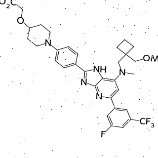 COCC1(CN(C)c2cc(-c3cc(F)cc(C(F)(F)F)c3)nc3nc(-c4ccc(N5CCC(OCC(=O)O)CC5)cc4)[nH]c23)CCC1